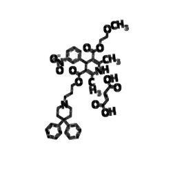 COCCOC(=O)C1=C(C)NC(C)=C(C(=O)OCCCN2CCC(c3ccccc3)(c3ccccc3)CC2)C1c1cccc([N+](=O)[O-])c1.O=C(O)C=CC(=O)O